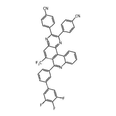 N#Cc1ccc(-c2nc3cc(C(F)(F)F)c4c(-c5cccc(-c6cc(F)c(F)c(F)c6)c5)nc5ccccc5c4c3nc2-c2ccc(C#N)cc2)cc1